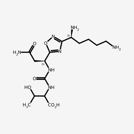 CC(O)C(NC(=O)N[C@@H](CC(N)=O)c1nc([C@@H](N)CCCCN)no1)C(=O)O